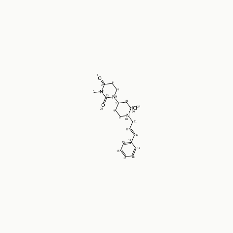 CN1C(=O)CCN(C2CCN(CC=Cc3ccccc3)CC2)C1=O.Cl